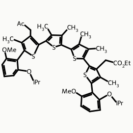 CCOC(=O)Cc1c(-c2sc(-c3sc(-c4sc(-c5c(OC)cccc5OC(C)C)c(C)c4CC(C)=O)c(C)c3C)c(C)c2C)sc(-c2c(OC)cccc2OC(C)C)c1C